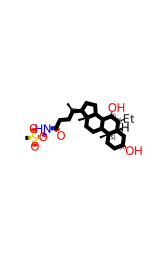 CC[C@H]1[C@@H](O)C2C3CCC([C@H](C)CCC(=O)NOS(C)(=O)=O)[C@@]3(C)CCC2[C@@]2(C)CC[C@@H](O)C[C@@H]12